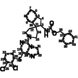 O=C(NC1Cc2ccccc2C12CCN(c1ncc(Sc3cccc(Cl)c3Cl)c3nccn13)CC2)OCc1ccccc1